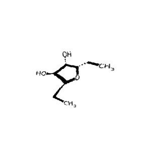 CC[C@@H]1O[C@@H](CC)[C@@H](O)[C@@H]1O